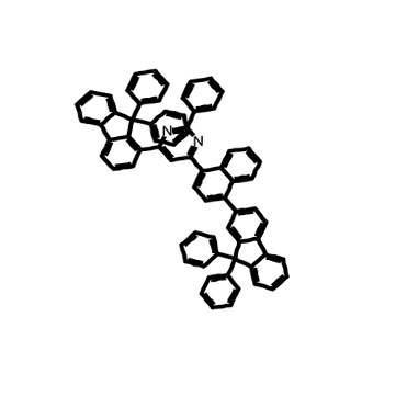 c1ccc(-c2nc(-c3cccc4c3C(c3ccccc3)(c3ccccc3)c3ccccc3-4)cc(-c3ccc(-c4ccc5c(c4)C(c4ccccc4)(c4ccccc4)c4ccccc4-5)c4ccccc34)n2)cc1